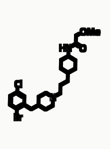 COCC(=O)NC1CCC(CCCN2CCC(Cc3cc(Cl)ccc3Br)CC2)CC1